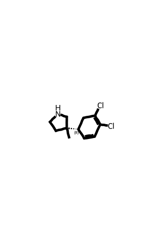 CC1([C@H]2C=CC(Cl)=C(Cl)C2)CCNC1